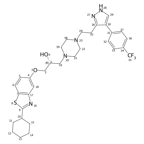 O[C@@H](COc1ccc2sc(C3CCCCC3)nc2c1)CN1CCN(CCc2n[nH]cc2-c2ccc(C(F)(F)F)cc2)CC1